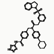 O=C(Nc1nn[nH]n1)c1ccc(CN(C(=O)Cc2cccc(S(=O)(=O)N3CCc4ccccc43)c2)c2ccc(C3CCCCC3)cc2)cc1